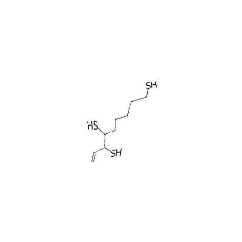 C=CC(S)C(S)CCCCCS